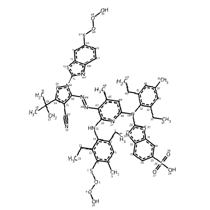 CCc1cc(C)c(SOOO)c(CC)c1Nc1nc(N(c2nc3ccc(S(=O)(=O)O)cc3s2)c2c(CC)cc(C)cc2CC)cc(C)c1N=Nc1c(C#N)c(C(C)(C)C)nn1-c1nc2ccc(SOOO)cc2s1